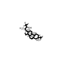 C[C@@H]([C@H]1CC[C@H]2[C@@H]3CC=C4C[C@](O)(C(F)(F)F)CC[C@]4(C)[C@H]3CC[C@]12C)[C@H](O)C(F)(F)F